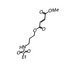 CCS(=O)(=O)NCCCOC(=O)/C=C/C(=O)OC